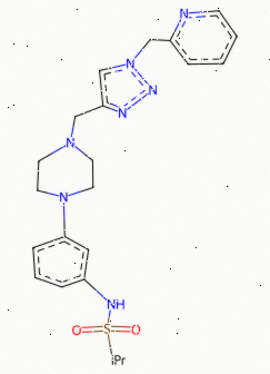 CC(C)S(=O)(=O)Nc1cccc(N2CCN(Cc3cn(Cc4ccccn4)nn3)CC2)c1